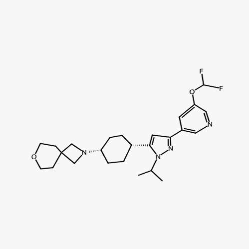 CC(C)n1nc(-c2cncc(OC(F)F)c2)cc1[C@H]1CC[C@@H](N2CC3(CCOCC3)C2)CC1